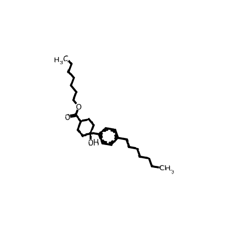 CCCCCCCOC(=O)C1CCC(O)(c2ccc(CCCCCCC)cc2)CC1